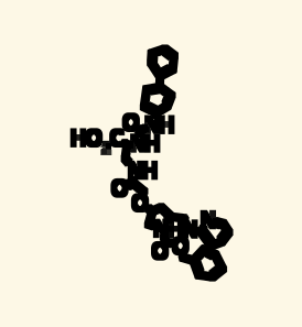 O=C(COC1CC(CNc2ccccn2)N(C(=O)OCc2ccccc2)C1)NCC(NC(=O)Nc1ccc(-c2ccccc2)cc1)C(=O)O